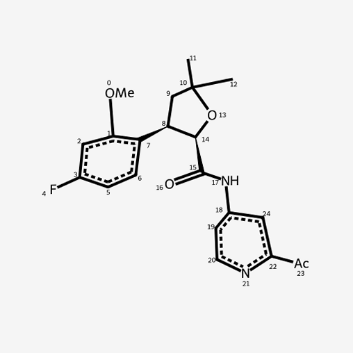 COc1cc(F)ccc1[C@H]1CC(C)(C)O[C@H]1C(=O)Nc1ccnc(C(C)=O)c1